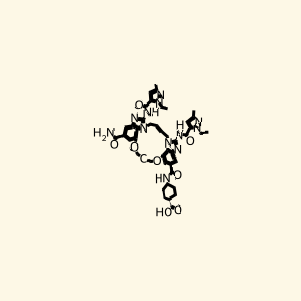 CCn1nc(C)cc1C(=O)Nc1nc2cc(C(N)=O)cc3c2n1C/C=C/Cn1c(NC(=O)c2cc(C)nn2CC)nc2cc(C(=O)N[C@H]4CC[C@@H](C(=O)O)CC4)cc(c21)OCCCO3